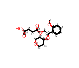 COc1ccccc1[C@H](COC(=O)CCC(=O)O)OC1CCOCC1